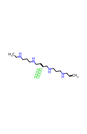 C=CCNCCCNCC=CCNCCCNCC.Cl.Cl.Cl.Cl